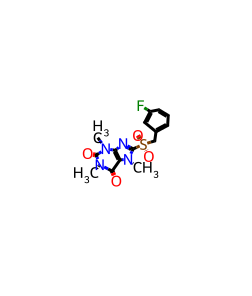 Cn1c(=O)c2c(nc(S(=O)(=O)Cc3cccc(F)c3)n2C)n(C)c1=O